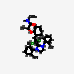 CON(C)C(=O)C(Oc1ccccc1[CH]=[Ru]([Cl])([Cl])=[C]1N(c2c(C(C)C)cccc2C(C)C)CCN1c1c(C(C)C)cccc1C(C)C)C(C)C